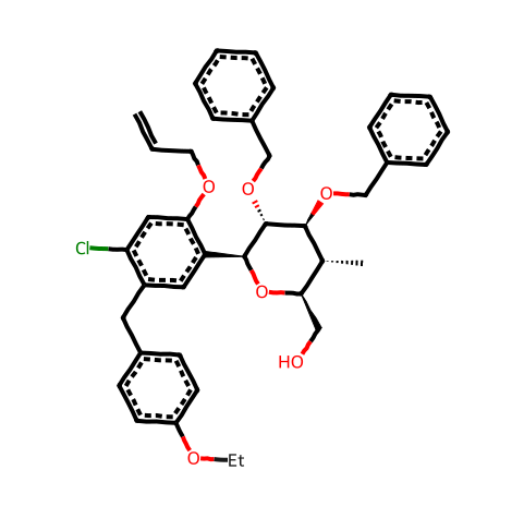 C=CCOc1cc(Cl)c(Cc2ccc(OCC)cc2)cc1[C@@H]1O[C@H](CO)[C@@H](C)[C@H](OCc2ccccc2)[C@H]1OCc1ccccc1